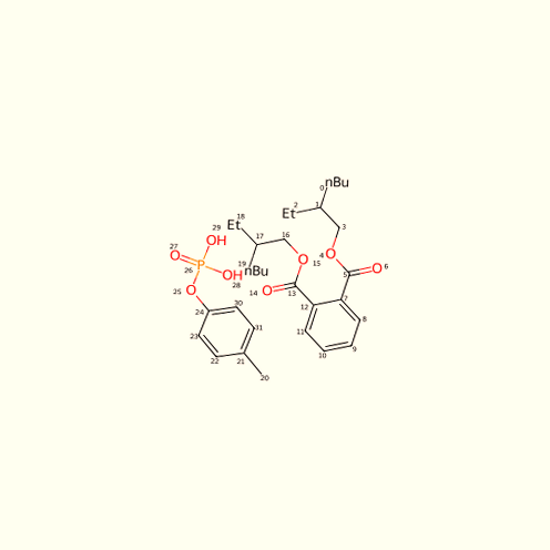 CCCCC(CC)COC(=O)c1ccccc1C(=O)OCC(CC)CCCC.Cc1ccc(OP(=O)(O)O)cc1